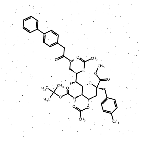 COC(=O)[C@]1(Sc2ccc(C)cc2)C[C@H](OC(C)=O)[C@@H](NC(=O)OC(C)(C)C)[C@H]([C@@H](F)[C@@H](CNC(=O)Cc2ccc(-c3ccccc3)cc2)OC(C)=O)O1